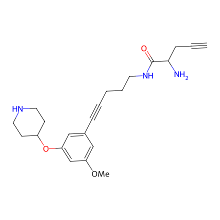 C#CCC(N)C(=O)NCCCC#Cc1cc(OC)cc(OC2CCNCC2)c1